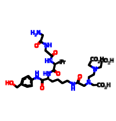 CC(C)[C@H](NC(=O)CNC(=O)CN)C(=O)N[C@@H](CCCCNC(=O)CN(CCN(CC(=O)O)CC(=O)O)CC(=O)O)C(=O)Nc1ccc(CO)cc1